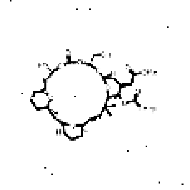 CCCCCCCC(=O)O[C@H]1/C(=C/C(=O)OC)C[C@H]2C[C@H](CO)OC(=O)C[C@H](O)C[C@@H]3CCC[C@H](C[C@@H]4CCC[C@H](/C=C/C(C)(C)[C@]1(O)O2)O4)O3